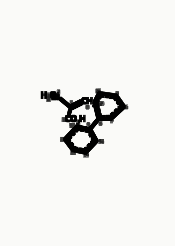 C=C(CC)C(=O)O.O.c1ccc(-c2ccccc2)cc1